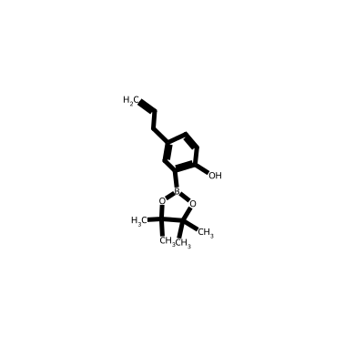 C=CCc1ccc(O)c(B2OC(C)(C)C(C)(C)O2)c1